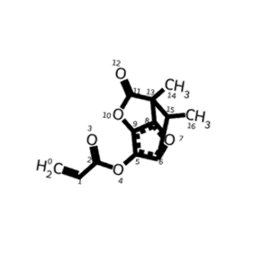 C=CC(=O)Oc1c2oc3c1OC(=O)C3(C)C2C